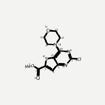 COC(=O)c1cc2nc(Cl)nc(N3CCOCC3)c2s1